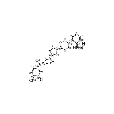 O=C(NCC(=O)N1CCC(N2CCC(c3cccc4nn[nH]c34)CC2)C1)c1ccc(Cl)c(Cl)c1